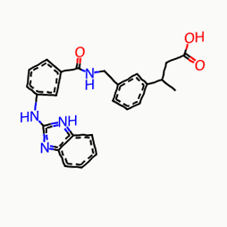 CC(CC(=O)O)c1cccc(CNC(=O)c2cccc(Nc3nc4ccccc4[nH]3)c2)c1